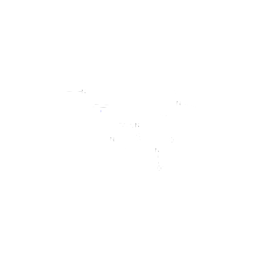 CN(C)/C=C/c1ncc([N+](=O)[O-])n1CCN(C)C